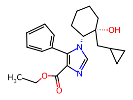 CCOC(=O)c1ncn([C@@H]2CCCC[C@@]2(O)CC2CC2)c1-c1ccccc1